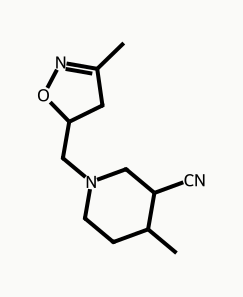 CC1=NOC(CN2CCC(C)C(C#N)C2)C1